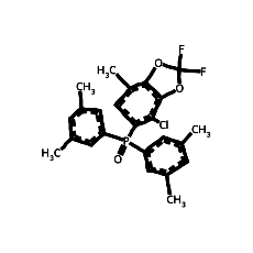 Cc1cc(C)cc(P(=O)(c2cc(C)cc(C)c2)c2cc(C)c3c(c2Cl)OC(F)(F)O3)c1